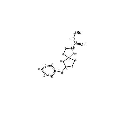 CC(C)(C)OC(=O)N1CCC2(CCC(Cc3ccccc3)C2)C1